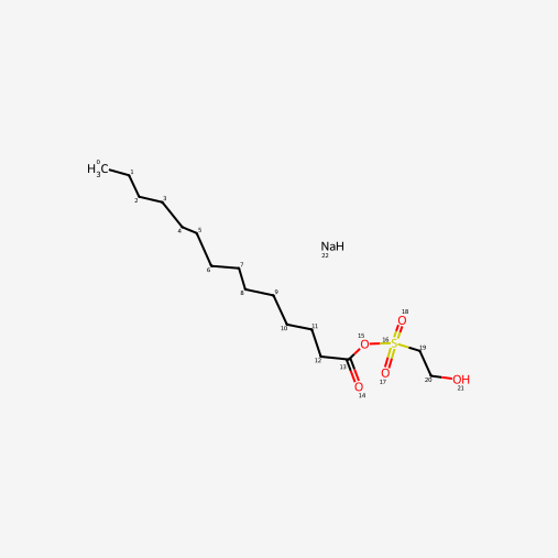 CCCCCCCCCCCCCC(=O)OS(=O)(=O)CCO.[NaH]